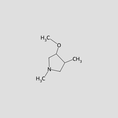 COC1CN(C)CC1C